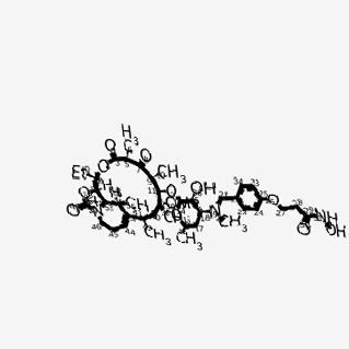 CC[C@H]1OC(=O)[C@H](C)C(=O)[C@H](C)[C@@H](O[C@@H]2O[C@H](C)C[C@H](N(C)Cc3ccc(OCCC(=O)NO)cc3)[C@H]2O)[C@](C)(OC)C[C@@H](C)C2=CCCN3C(=O)O[C@@]1(C)[C@H]3[C@H]2C